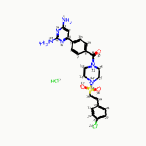 Cl.Nc1cc(-c2ccc(C(=O)N3CCN(S(=O)(=O)C=Cc4ccc(Cl)cc4)CC3)cc2)nc(N)n1